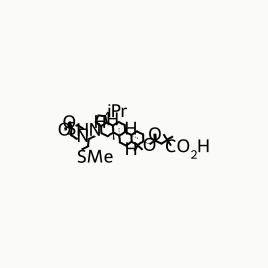 CSCCC(CN[C@]12CC[C@@H](C(C)C)[C@@H]1[C@H]1CC[C@@H]3[C@@]4(C)CC[C@H](OC(=O)CC(C)(C)C(=O)O)C(C)(C)[C@@H]4CC[C@@]3(C)[C@]1(C)CC2)N1CCS(=O)(=O)CC1